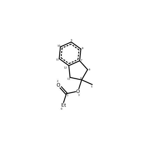 CCC(=O)OC1(C)Cc2ccccc2C1